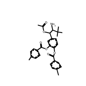 CC(=O)OC(c1ccc(OC(=O)c2ccc(C)cc2)c(OC(=O)c2ccc(C)cc2)c1)C(N)C(C)(C)C